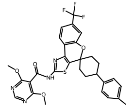 COc1ncnc(OC)c1C(=O)Nc1nc2c(s1)C1(CCC(c3ccc(C)cc3)CC1)Oc1cc(C(F)(F)F)ccc1-2